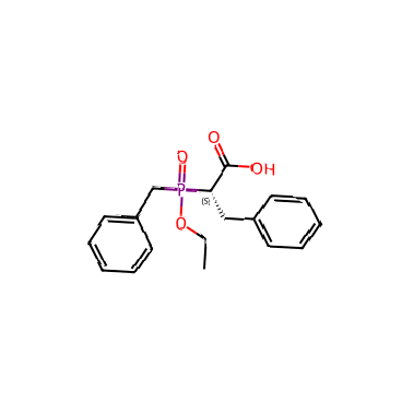 CCOP(=O)(Cc1ccccc1)[C@@H](Cc1ccccc1)C(=O)O